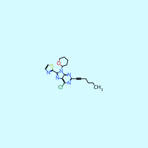 CCCCC#Cc1nc(Cl)c2nc(-c3nccs3)n(C3CCCCO3)c2n1